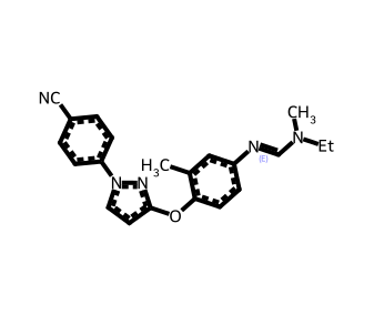 CCN(C)/C=N/c1ccc(Oc2ccn(-c3ccc(C#N)cc3)n2)c(C)c1